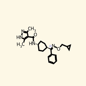 Cc1n[nH]c(C)c1C(=O)N[C@H]1CC[C@H](/C(=N/OCC2CC2)c2ccccc2)CC1